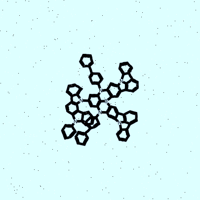 c1ccc(-c2ccc(N3c4cc5c(cc4B4c6cc7c8cccc9c%10ccccc%10n(c7cc6N(c6ccc(-c7ccccc7)cc6)c6cc(-n7c%10ccccc%10c%10ccc%11c(c%12ccccc%12n%11-c%11ccccc%11)c%107)cc3c64)c98)c3cccc4c6ccccc6n5c43)cc2)cc1